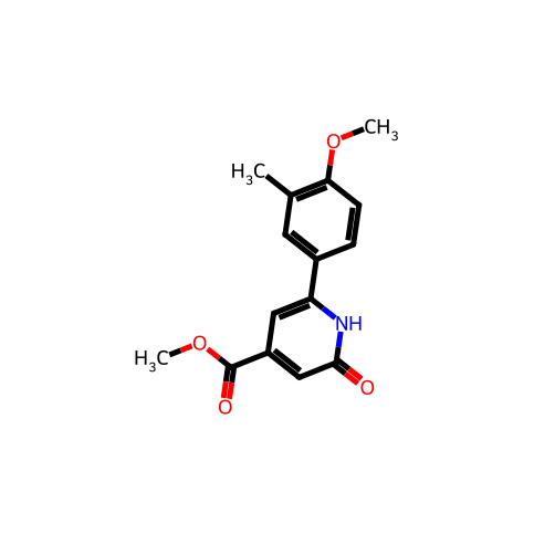 COC(=O)c1cc(-c2ccc(OC)c(C)c2)[nH]c(=O)c1